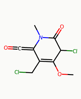 COC1=C(CCl)C(=C=O)N(C)C(=O)C1Cl